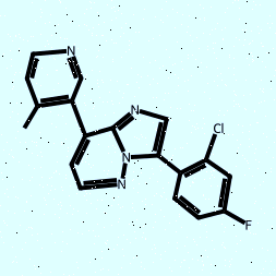 Cc1ccncc1-c1ccnn2c(-c3ccc(F)cc3Cl)cnc12